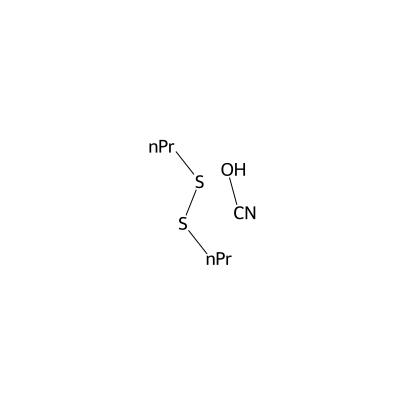 CCCSSCCC.N#CO